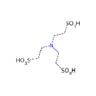 O=S(=O)(O)CCN(CCS(=O)(=O)O)CCS(=O)(=O)O